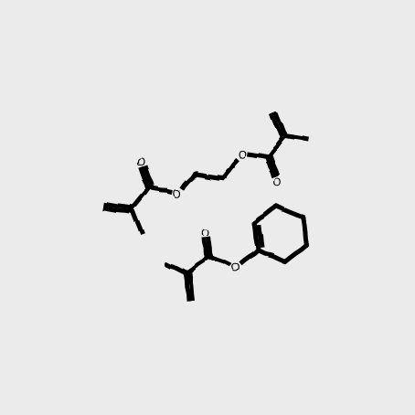 C=C(C)C(=O)OC1=CCCCC1.C=C(C)C(=O)OCCOC(=O)C(=C)C